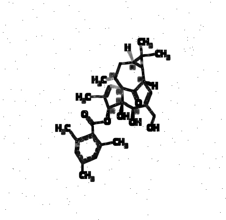 CC1=C[C@]23C(=O)[C@@H](C=C(CO)[C@@H](O)[C@]2(O)[C@H]1OC(=O)c1c(C)cc(C)cc1C)C1[C@@H](C[C@H]3C)C1(C)C